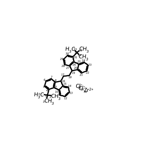 CC(C)(C)c1cccc2c1-c1ccccc1C2CCC1c2ccccc2-c2c1cccc2C(C)(C)C.[Cl-].[Cl-].[Zr+2]